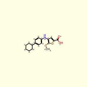 CSc1sc(C(=O)O)cc1Nc1ccc(C2CCCCC2)cc1